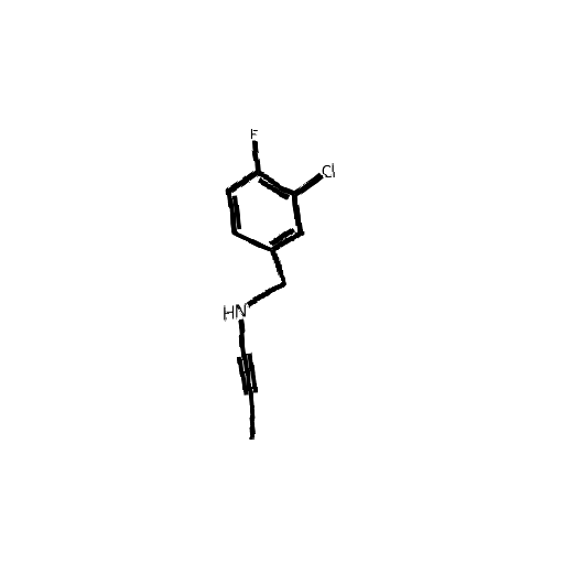 CC#CNCc1ccc(F)c(Cl)c1